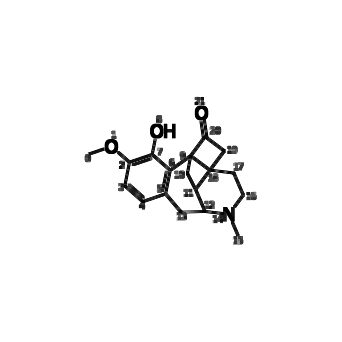 COc1ccc2c(c1O)C13CC4C(C2)N(C)CCC41CC3=O